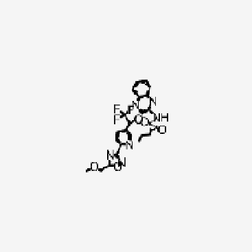 CCCS(=O)(=O)Nc1nc2ccccc2nc1OC(c1ccc(-c2noc(COC)n2)nc1)C(F)(F)F